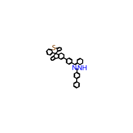 C1=CC2=C(c3ccc(C4=CC5=C(CC4)C4(c6ccccc6Sc6ccccc64)c4ccccc45)cc3)N=C(c3ccc(-c4ccccc4)cc3)NC2CC1